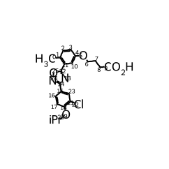 Cc1ccc(OCCCC(=O)O)cc1-c1nc(-c2ccc(OC(C)C)c(Cl)c2)no1